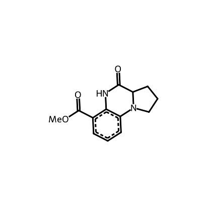 COC(=O)c1cccc2c1NC(=O)C1CCCN21